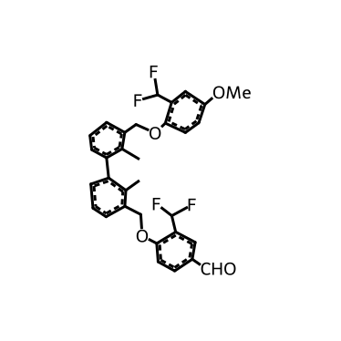 COc1ccc(OCc2cccc(-c3cccc(COc4ccc(C=O)cc4C(F)F)c3C)c2C)c(C(F)F)c1